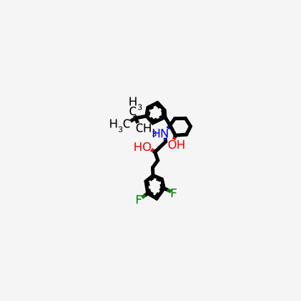 CC(C)(C)c1cccc(C2(NCC(O)CCc3cc(F)cc(F)c3)CCCCC2O)c1